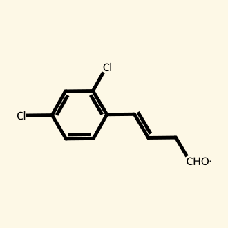 O=[C]CC=Cc1ccc(Cl)cc1Cl